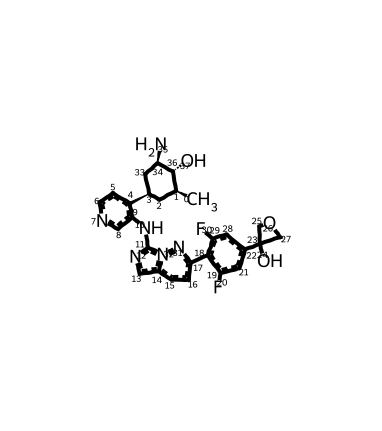 C[C@H]1C[C@@H](c2ccncc2Nc2ncc3ccc(-c4c(F)cc(C5(O)COC5)cc4F)nn23)C[C@@H](N)[C@@H]1O